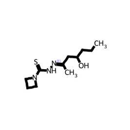 CCCC(O)C/C(C)=N/NC(=S)N1CCC1